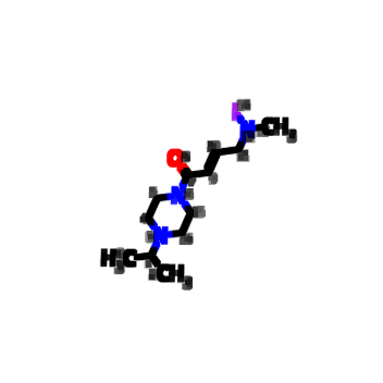 CC(C)N1CCN(C(=O)/C=C/CN(C)I)CC1